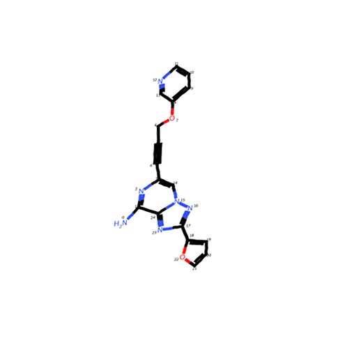 Nc1nc(C#CCOc2cccnc2)cn2nc(-c3ccco3)nc12